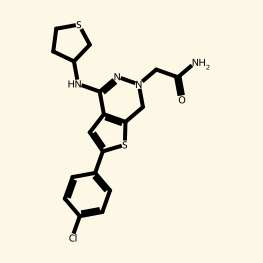 NC(=O)CN1Cc2sc(-c3ccc(Cl)cc3)cc2C(NC2CCSC2)=N1